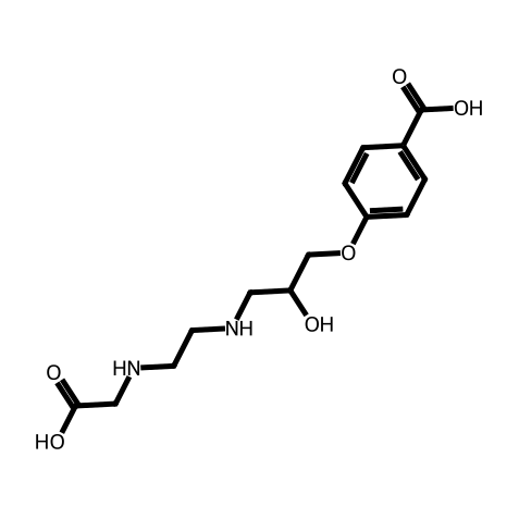 O=C(O)CNCCNCC(O)COc1ccc(C(=O)O)cc1